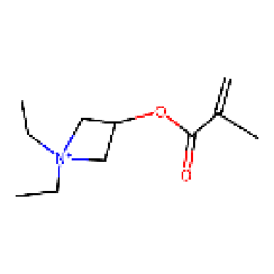 C=C(C)C(=O)OC1C[N+](CC)(CC)C1